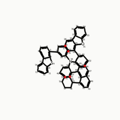 c1cc(-c2cccc3c2sc2ccccc23)cc(N(c2ccccc2-c2cccc3c2oc2ccccc23)c2ccccc2-c2cccc3cccc(C4CCCCC4)c23)c1